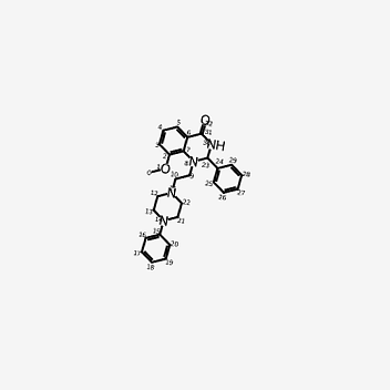 COc1cccc2c1N(CCN1CCN(c3ccccc3)CC1)C(c1ccccc1)NC2=O